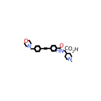 CN1CCC([C@H](NC(=O)c2ccc(C#Cc3ccc(CN4CCOCC4)cc3)cc2)C(=O)O)CC1